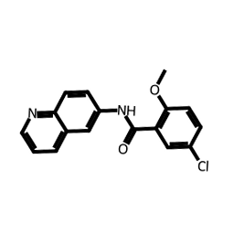 COc1ccc(Cl)cc1C(=O)Nc1ccc2ncccc2c1